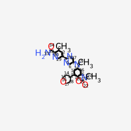 Cc1cc(-c2ncc(N(C)c3cc(C4CCOCC4)c4oc(=O)n(C)c4c3)cn2)cnc1C(N)=O